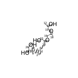 C=C.C=C.C=C.C=C.C=C.C=C.CC(O)COC(C)COC(C)CO.OCCO